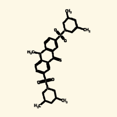 CC1CC(C)CN(S(=O)(=O)c2ccc3c(c2)c(=S)c2cc(S(=O)(=O)N4CC(C)CC(C)C4)ccc2n3C)C1